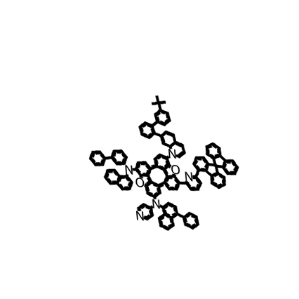 CC(C)(C)c1cccc(-c2ccccc2C2=CC3C(=CC=CN3c3ccc4c5ccc(N(c6cccc(-c7ccccc7)c6)c6cccc7ccccc67)c6oc7cc(N(c8ccncc8)c8ccc(-c9ccccc9)c9ccccc89)cc(c8ccc(-c9cccc(-c%10cccc%11c%10-c%10ccccc%10C%11%10c%11ccccc%11-c%11ccccc%11%10)n9)c9oc3c4c98)c7c65)C=C2)c1